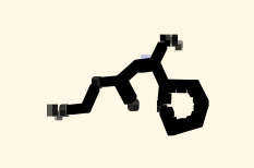 CCOC(=O)/C=C(/N)c1ccccn1